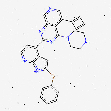 C1=CC(c2cncc3nc(-c4ccnc5[nH]c(Sc6ccccc6)cc45)nc(N4CCNCC4)c23)=C1